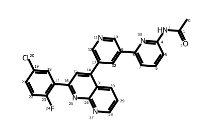 CC(=O)Nc1cccc(-c2cncc(-c3cc(-c4cc(Cl)ccc4F)nc4ncccc34)c2)n1